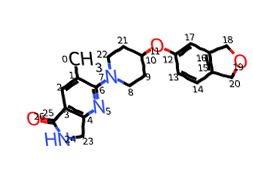 Cc1cc2c(nc1N1CCC(Oc3ccc4c(c3)COC4)CC1)CNC2=O